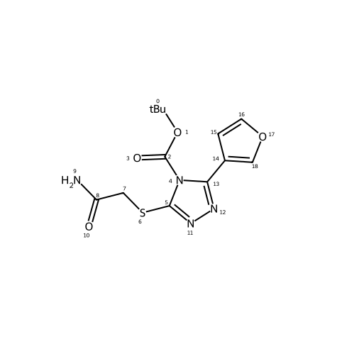 CC(C)(C)OC(=O)n1c(SCC(N)=O)nnc1-c1ccoc1